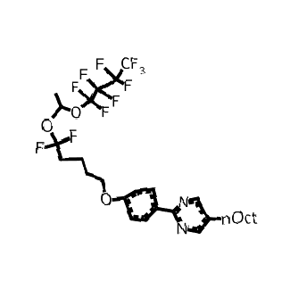 CCCCCCCCc1cnc(-c2ccc(OCCCCC(F)(F)OC(C)OC(F)(F)C(F)(F)C(F)(F)C(F)(F)F)cc2)nc1